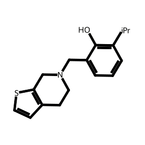 CC(C)c1cccc(CN2CCc3ccsc3C2)c1O